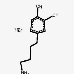 Br.NCCCCc1ccc(O)c(O)c1